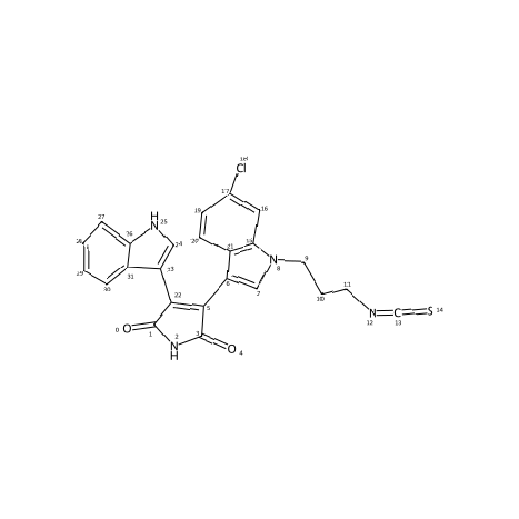 O=C1NC(=O)C(c2cn(CCCN=C=S)c3cc(Cl)ccc23)=C1c1c[nH]c2ccccc12